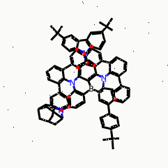 CC(C)(C)c1ccc(-c2ccc3c(c2)B2c4ccc(N5C6CC7CC(C6)CC5C7)cc4N(c4c(-c5ccccc5)cccc4-c4ccccc4)c4cc(-n5c6ccc(C(C)(C)C)cc6c6cc(C(C)(C)C)ccc65)cc(c42)N3c2c(-c3ccccc3)cccc2-c2ccccc2)cc1